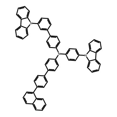 c1cc(-c2ccc(N(c3ccc(-c4ccc(-c5cccc6ccccc56)cc4)cc3)c3ccc(-n4c5ccccc5c5ccccc54)cc3)cc2)cc(-n2c3ccccc3c3ccccc32)c1